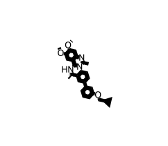 COc1cc2nc(C)nc(N[C@H](C)c3cccc(-c4cccc(OCC5CC5)c4)c3)c2cc1OC